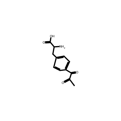 CC(=O)C(=O)c1ccc(CC(N)C(=O)O)cc1